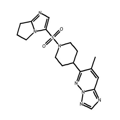 Cc1cc2ncnn2nc1C1CCN(S(=O)(=O)c2cnc3n2CCC3)CC1